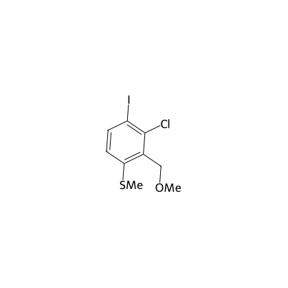 COCc1c(SC)ccc(I)c1Cl